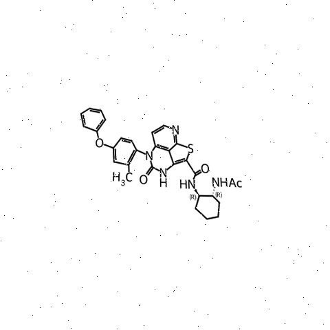 CC(=O)N[C@@H]1CCCC[C@H]1NC(=O)c1sc2nccc3c2c1NC(=O)N3c1ccc(Oc2ccccc2)cc1C